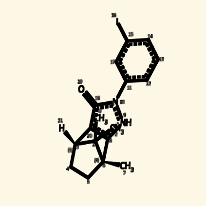 CC1(C)[C@@H]2CC[C@@]1(C)c1[nH]n(-c3cccc(I)c3)c(=O)c12